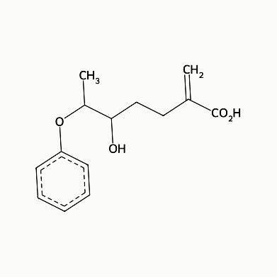 C=C(CCC(O)C(C)Oc1ccccc1)C(=O)O